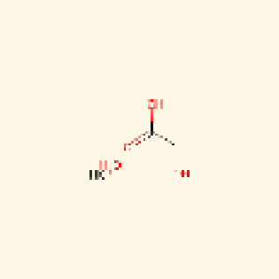 O.O=C(O)CO.[KH]